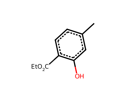 CCOC(=O)c1ccc(C)cc1O